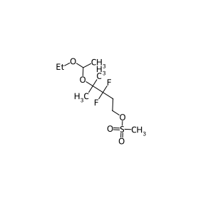 CCOC(C)OC(C)(C)C(F)(F)CCOS(C)(=O)=O